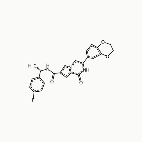 C[C@@H](NC(=O)c1cc2c(=O)[nH]c(-c3ccc4c(c3)OCCO4)cn2c1)c1ccc(F)cc1